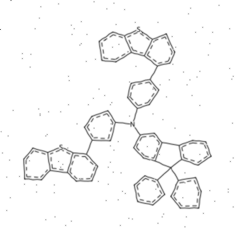 c1ccc(C2(c3ccccc3)c3ccccc3-c3cc(N(c4ccc(-c5cccc6sc7ccccc7c56)cc4)c4cccc(-c5cccc6c5sc5ccccc56)c4)ccc32)cc1